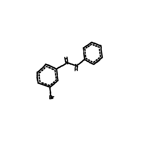 Brc1cccc(NNc2ccccc2)c1